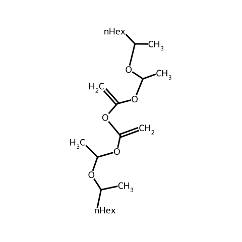 C=C(OC(=C)OC(C)OC(C)CCCCCC)OC(C)OC(C)CCCCCC